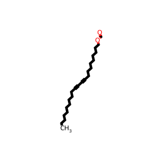 CCCCCCCCCCC#CC#CCCCCCCCCCOC=O